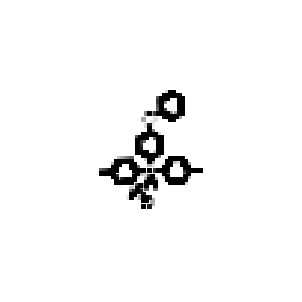 Cc1ccc(S(OS(C)(=O)=O)(c2ccc(C)cc2)c2ccc(Oc3ccccc3)cc2)cc1